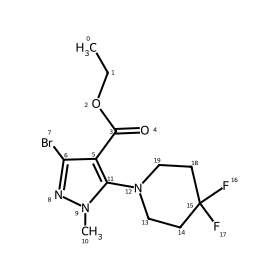 CCOC(=O)c1c(Br)nn(C)c1N1CCC(F)(F)CC1